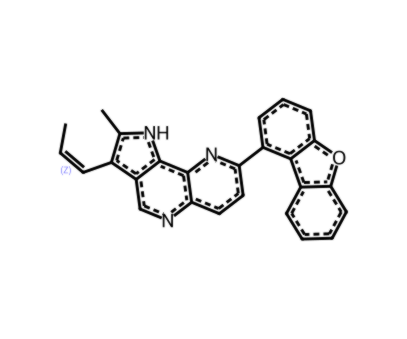 C/C=C\c1c(C)[nH]c2c1cnc1ccc(-c3cccc4oc5ccccc5c34)nc12